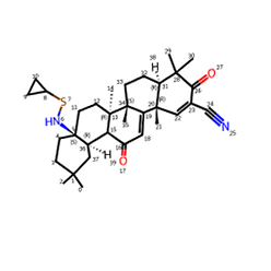 CC1(C)CC[C@]2(NSC3CC3)CC[C@]3(C)C(C(=O)C=C4[C@@]5(C)C=C(C#N)C(=O)C(C)(C)[C@@H]5CC[C@]43C)[C@H]2C1